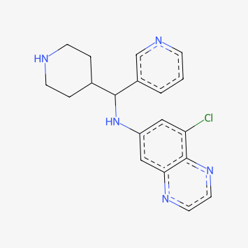 Clc1cc(NC(c2cccnc2)C2CCNCC2)cc2nccnc12